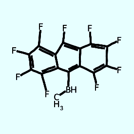 CBc1c2c(F)c(F)c(F)c(F)c2c(F)c2c(F)c(F)c(F)c(F)c12